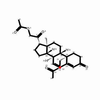 CC(=O)OCC(=O)[C@H]1CC[C@H]2[C@@H]3C=CC4=CC(=O)CC[C@]4(COC(C)=O)[C@H]3CC[C@]12C